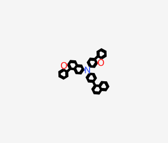 c1ccc2c(-c3ccc(N(c4ccc5c(ccc6oc7ccccc7c65)c4)c4ccc5c(c4)oc4ccccc45)cc3)cccc2c1